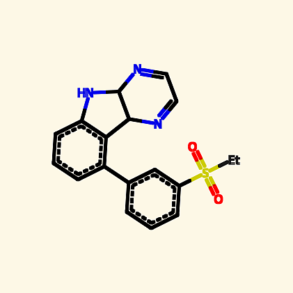 CCS(=O)(=O)c1cccc(-c2cccc3c2C2N=CC=NC2N3)c1